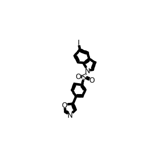 O=S(=O)(c1ccc(-c2cnco2)cc1)n1ccc2cc(I)ccc21